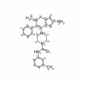 Cc1cccc(NC(=O)N2CCN(C3=C(c4ccccc4)N(C)Cc4sc(N)cc43)CC2)c1